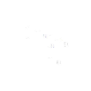 CCSCCN(Cc1ccccc1)Cc1ccc(CC)cn1